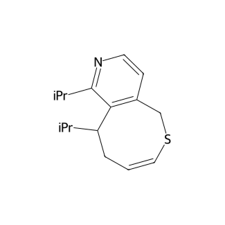 CC(C)c1nccc2c1C(C(C)C)C/C=C\SC2